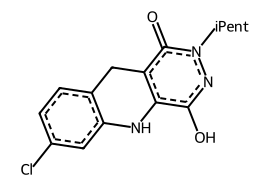 CCCC(C)n1nc(O)c2c(c1=O)Cc1ccc(Cl)cc1N2